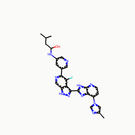 Cc1cn(-c2ccnc3[nH]c(-c4n[nH]c5cnc(-c6cncc(NC(O)CC(C)C)c6)c(F)c45)nc23)cn1